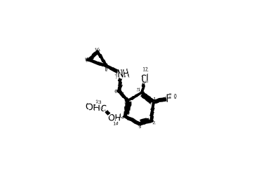 Fc1cccc(CNC2CC2)c1Cl.O=CO